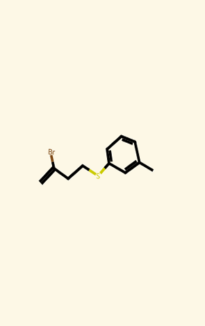 C=C(Br)CCSc1cccc(C)c1